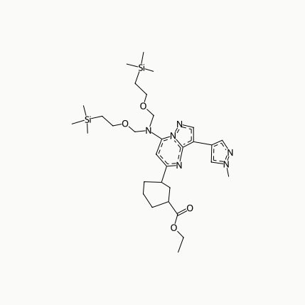 CCOC(=O)C1CCCC(c2cc(N(COCC[Si](C)(C)C)COCC[Si](C)(C)C)n3ncc(-c4cnn(C)c4)c3n2)C1